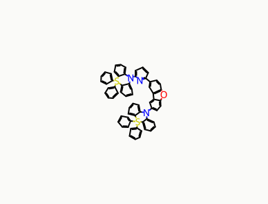 c1ccc(S2(c3ccccc3)c3ccccc3N(c3ccc4oc5ccc(-c6cccc(N7c8ccccc8S(c8ccccc8)(c8ccccc8)c8ccccc87)n6)cc5c4c3)c3ccccc32)cc1